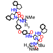 CNC(C)C(=O)NC(Cc1ccc(Oc2ccc(C(=O)N[C@H]3C[C@@H](C(=O)N[C@@H]4CCCc5ccccc54)N(C(=O)C(NC(=O)C(C)NC)C(C)(C)C)C3)cc2)cc1)C(=O)N1Cc2ccccc2CC1C(=O)N[C@@H]1CCCc2ccccc21